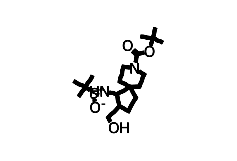 CC(C)(C)OC(=O)N1CCC2(CCC(CO)C2N[S+]([O-])C(C)(C)C)CC1